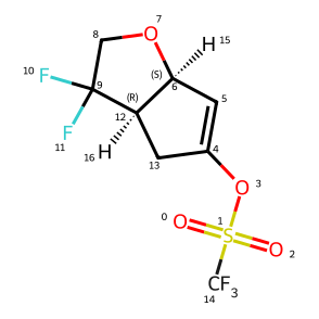 O=S(=O)(OC1=C[C@@H]2OCC(F)(F)[C@@H]2C1)C(F)(F)F